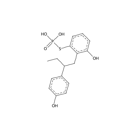 CCC(Cc1c(O)cccc1SP(=O)(O)O)c1ccc(O)cc1